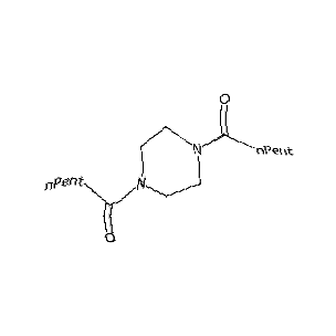 CCCCCC(=O)N1CCN(C(=O)CCCCC)CC1